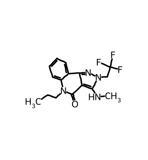 CCCn1c(=O)c2c(NC)n(CC(F)(F)F)nc2c2ccccc21